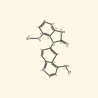 CCNc1ccnc2ccc(-n3c(=O)[nH]c4nccc(OCC)c43)cc12